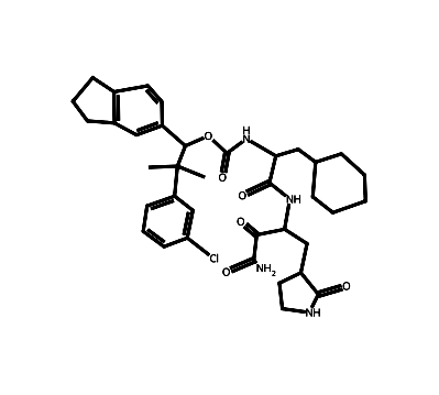 CC(C)(c1cccc(Cl)c1)C(OC(=O)NC(CC1CCCCC1)C(=O)NC(CC1CCNC1=O)C(=O)C(N)=O)c1ccc2c(c1)CCC2